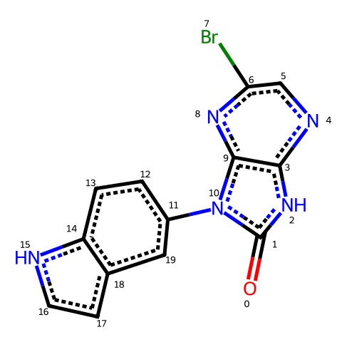 O=c1[nH]c2ncc(Br)nc2n1-c1ccc2[nH]ccc2c1